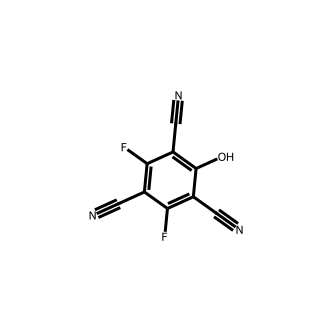 N#Cc1c(O)c(C#N)c(F)c(C#N)c1F